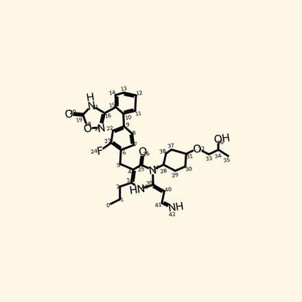 CCCC1=C(Cc2ccc(-c3ccccc3-c3noc(=O)[nH]3)cc2F)C(=O)N(C2CCC(OCC(C)O)CC2)/C(=C/C=N)N1